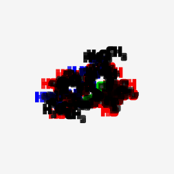 CN[C@H](CC(C)C)C(=O)N[C@H]1C(=O)N[C@@H](CC(N)=O)C(=O)N[C@H]2C(=O)N[C@H]3C(=O)N[C@H](C(=O)N[C@@H](C(=O)O)c4cc(O)cc(O)c4-c4cc3ccc4O)[C@H](OC3C[C@](C)(NCc4c[nH]cn4)[C@@H](O)[C@H](C)O3)c3ccc(c(Cl)c3)Oc3cc2cc(c3O[C@@H]2O[C@H](CO)[C@@H](O[C@@H]3O[C@H](C=O)[C@H](O)[C@H](O)[C@H]3O)[C@H](O)[C@H]2O)Oc2ccc(cc2Cl)[C@H]1O